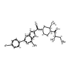 CC(C)c1nc(-c2ccc(F)cc2)nc2sc(C(=O)N3CCN(C(=O)C(O)CC(C)(C)C)C(C)C3)nc12